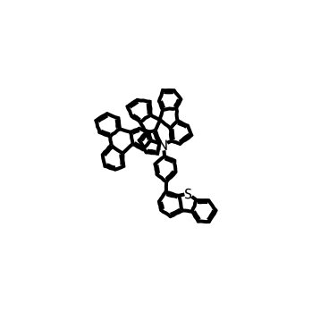 c1ccc2c(c1)-c1ccccc1C21c2ccccc2-c2cccc(N(c3ccc(-c4cccc5c4sc4ccccc45)cc3)c3ccc4c5ccccc5c5ccccc5c4c3)c21